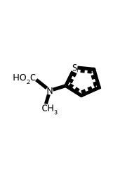 CN(C(=O)O)c1cccs1